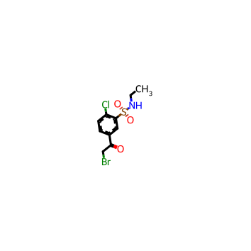 CCNS(=O)(=O)c1cc(C(=O)CBr)ccc1Cl